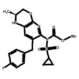 C[C@H]1COc2nc(N(C(=O)OC(C)(C)C)S(=O)(=O)C3CC3)c(Cc3ccc(F)cc3)cc2N1